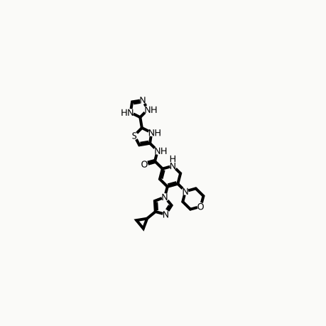 O=C(NC1=CSC(C2NC=NN2)N1)C1=CC(n2cnc(C3CC3)c2)=C(N2CCOCC2)CN1